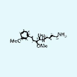 COc1cccc(CCC(OC)C(=O)NCC=CCN)c1